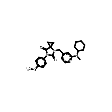 CN(c1cc(CN2C(=O)N(c3ccc(OC(F)(F)F)cc3)C(=O)C23CC3)ccn1)C1CCCCC1